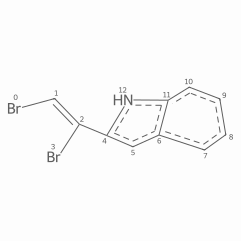 BrC=C(Br)c1cc2ccccc2[nH]1